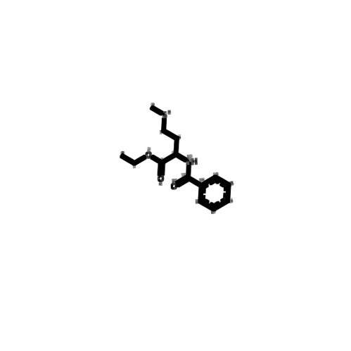 CCOC(=O)C(CCSC)NC(=O)c1ccccc1